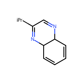 CC(C)C1=NC2C=CC=CC2N=C1